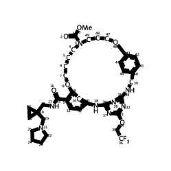 COC(=O)N1CCCCOc2cc(ccc2C(=O)NCC2(CN3CCCC3)CC2)Nc2nc(nc(OCC(F)(F)F)n2)NCc2ccc(cc2)OCCC1